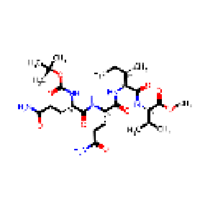 CC[C@H](C)[C@H](NC(=O)[C@H](CCC(N)=O)NC(=O)[C@H](CCC(N)=O)NC(=O)OC(C)(C)C)C(=O)N[C@H](C(=O)OC)C(C)C